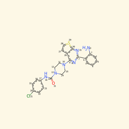 Nc1ccccc1-c1nc(N2CCN(C(=O)Nc3ccc(Cl)cc3)CC2)c2ccsc2n1